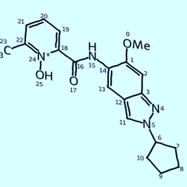 COc1cc2nn(C3CCCC3)cc2cc1NC(=O)c1cccc(C)[n+]1O